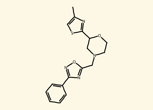 Cc1csc(C2CN(Cc3nc(-c4ccccc4)no3)CCO2)n1